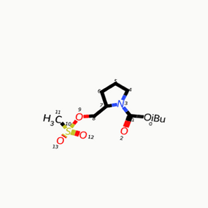 CC(C)COC(=O)N1CCCC1COS(C)(=O)=O